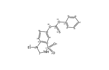 CCN1CNS(=O)(=O)c2cc(OC(=S)Oc3ccccc3)ccc21